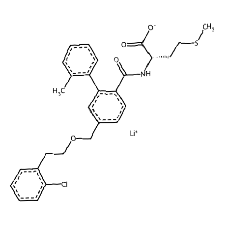 CSCC[C@H](NC(=O)c1ccc(COCCc2ccccc2Cl)cc1-c1ccccc1C)C(=O)[O-].[Li+]